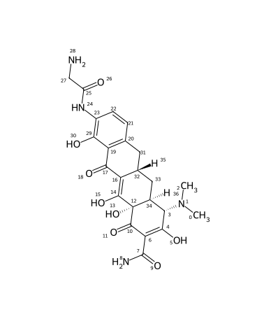 CN(C)[C@@H]1C(O)=C(C(N)=O)C(=O)[C@@]2(O)C(O)=C3C(=O)c4c(ccc(NC(=O)CN)c4O)C[C@@H]3C[C@@H]12